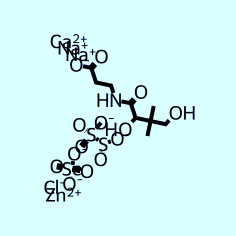 CC(C)(CO)C(O)C(=O)NCCC(=O)[O-].O=S([O-])S(=O)(=O)[O-].O=[Se](=O)([O-])[O-].[Ca+2].[Cl-].[Na+].[Na+].[Zn+2]